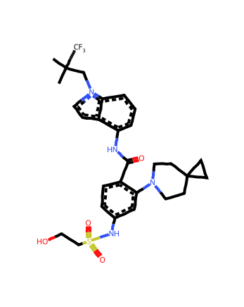 CC(C)(Cn1ccc2c(NC(=O)c3ccc(NS(=O)(=O)CCO)cc3N3CCC4(CC3)CC4)cccc21)C(F)(F)F